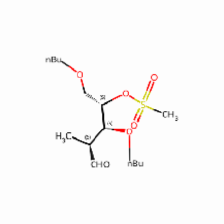 CCCCOC[C@H](OS(C)(=O)=O)[C@@H](OCCCC)[C@H](C)C=O